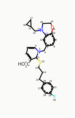 O=C(O)C1=CC=CN(Cc2ccc3c(c2)N(CC2CC2)CCO3)C1SCCCc1ccc(F)cc1